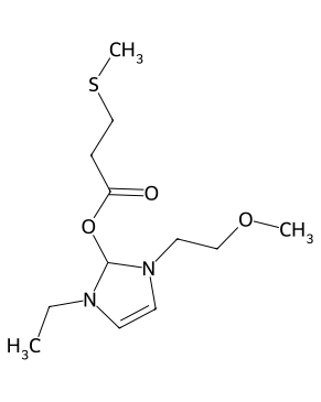 CCN1C=CN(CCOC)C1OC(=O)CCSC